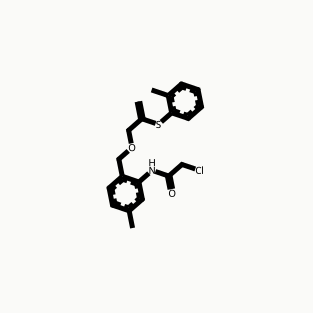 C=C(COCc1ccc(C)cc1NC(=O)CCl)Sc1ccccc1C